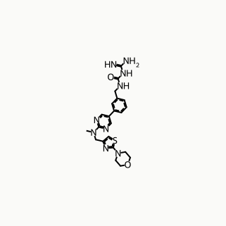 CN(Cc1csc(N2CCOCC2)n1)c1ncc(-c2cccc(CNC(=O)NC(=N)N)c2)cn1